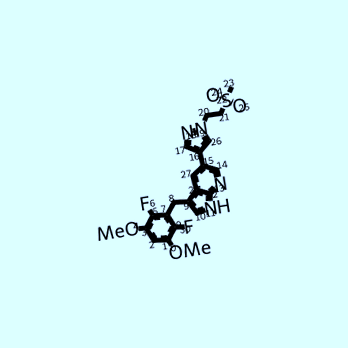 COc1cc(OC)c(F)c(Cc2c[nH]c3ncc(-c4cnn(CCS(C)(=O)=O)c4)cc23)c1F